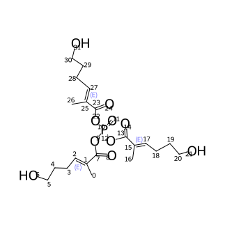 C/C(=C\CCCO)C(=O)OP(=O)(OC(=O)/C(C)=C/CCCO)OC(=O)/C(C)=C/CCCO